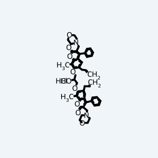 C=CCc1cc2c(-c3ccccc3)c(CN3CCOCC3)c(=O)oc2c(C)c1OCC(O)COc1c(CC=C)cc2c(-c3ccccc3)c(CN3CCOCC3)c(=O)oc2c1C.Cl